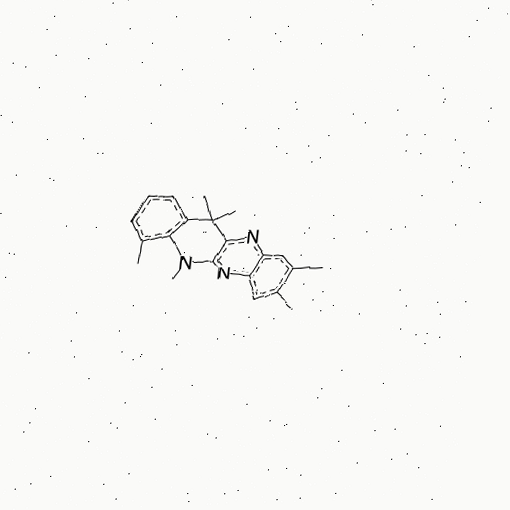 Cc1cc2nc3c(nc2cc1C)C(C)(C)c1cccc(C)c1N3C